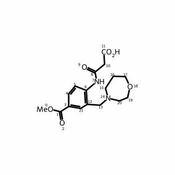 COC(=O)c1ccc(NC(=O)CC(=O)O)c(CN2CCCOCC2)c1